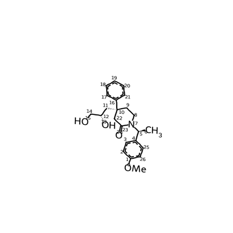 COc1ccc([C@H](C)N2CC[C@](C[C@H](O)CO)(c3ccccc3)CC2=O)cc1